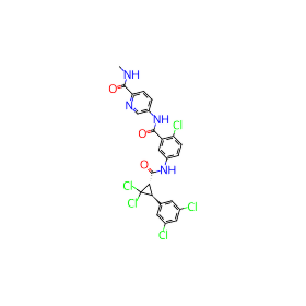 CNC(=O)c1ccc(NC(=O)c2cc(NC(=O)[C@@H]3[C@@H](c4cc(Cl)cc(Cl)c4)C3(Cl)Cl)ccc2Cl)cn1